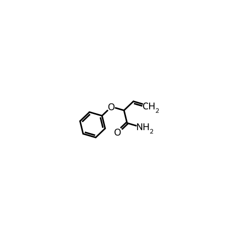 C=CC(Oc1ccccc1)C(N)=O